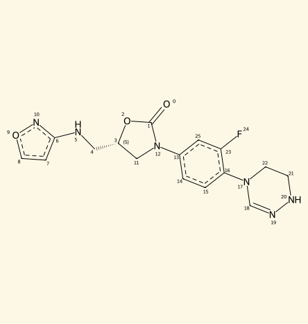 O=C1O[C@@H](CNc2ccon2)CN1c1ccc(N2C=NNCC2)c(F)c1